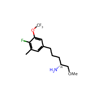 COC[C@H](N)CCCc1cc(C)c(F)c(OC(F)(F)F)c1